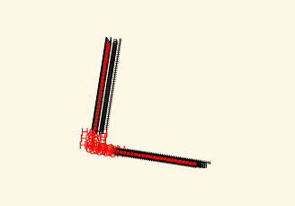 O=P(O)(O)O.O=P(O)(O)O.O=P(O)(O)O.O=P(O)(O)O.O=P(O)(O)O.O=P(O)(O)O.[Na+].[Na+].[Na+].[Na+].[Na+].[Na+].[Na+].[Na+].[Na+].[Na+].[Na+].[Na+].[Na+].[Na+].[Na+].[Na+].[Na+].[Na+].[Na+].[Na+].[Na+].[Na+].[Na+].[Na+].[Na+].[Na+].[Na+].[Na+].[Na+].[Na+].[Na+].[Na+].[Na+].[Na+].[Na+].[Na+].[Na+].[Na+].[Na+].[Na+].[Na+].[Na+].[Na+].[Na+].[Na+].[Na+].[Na+].[Na+].[Na+].[Na+].[Na+].[Na+].[Na+].[Na+].[Na+].[Na+].[Na+].[Na+].[Na+].[Na+].[Na+].[Na+].[Na+].[Na+].[Na+].[Na+].[Na+].[Na+].[Na+].[Na+].[Na+].[Na+].[Na+].[Na+].[Na+].[Na+].[Na+].[Na+].[Na+].[Na+].[Na+].[Na+].[Na+].[Na+].[Na+].[Na+].[Na+].[Na+].[Na+].[Na+].[Na+].[Na+].[Na+].[Na+].[Na+].[Na+]